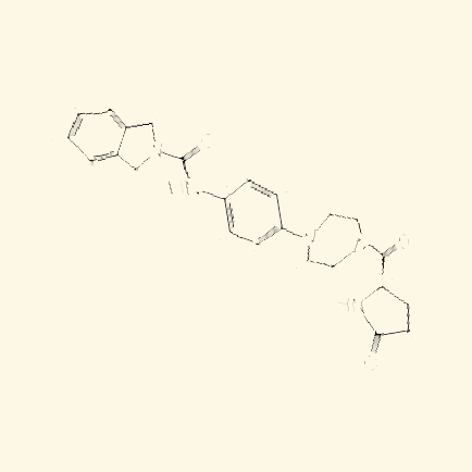 O=C1CC[C@H](C(=O)N2CCN(c3ccc(NC(=O)N4Cc5ccccc5C4)cc3)CC2)N1